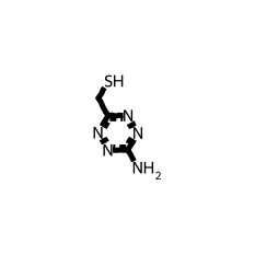 Nc1nnc(CS)nn1